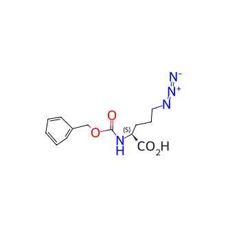 [N-]=[N+]=NCCC[C@H](NC(=O)OCc1ccccc1)C(=O)O